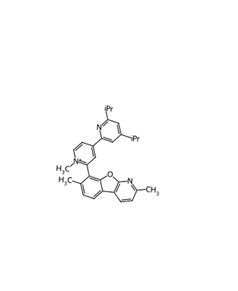 Cc1ccc2c(n1)oc1c(-c3cc(-c4cc(C(C)C)cc(C(C)C)n4)cc[n+]3C)c(C)ccc12